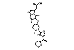 Cc1c(Oc2ccc(F)c(-c3ncc(C(=O)c4ccccc4)[nH]3)c2)c(F)cc2[nH]cc(CC(=O)O)c12